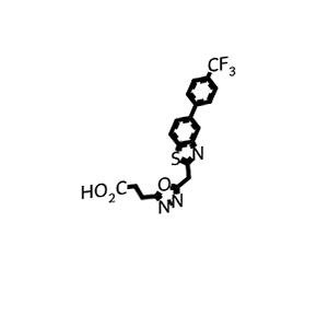 O=C(O)CCc1nnc(Cc2nc3cc(-c4ccc(C(F)(F)F)cc4)ccc3s2)o1